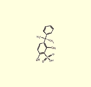 CC(C)(c1ccccc1)c1ccc(O)c(S(=O)(=O)O)c1O